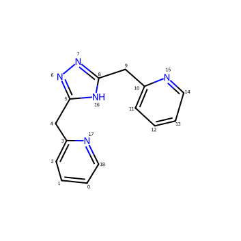 c1ccc(Cc2nnc(Cc3ccccn3)[nH]2)nc1